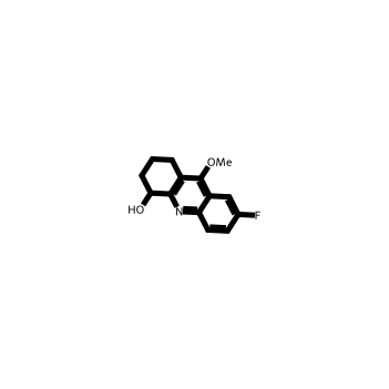 COc1c2c(nc3ccc(F)cc13)C(O)CCC2